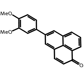 COc1ccc(-c2cc3c4c(cccc4c2)C(=O)C=C3)cc1OC